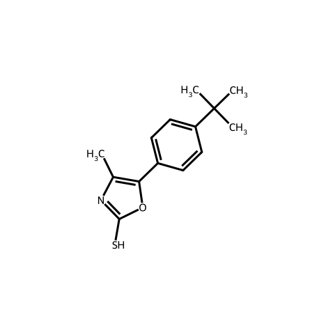 Cc1nc(S)oc1-c1ccc(C(C)(C)C)cc1